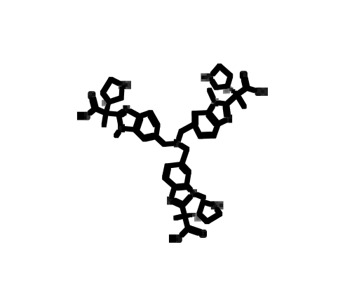 Cn1c(C(C)(C(=O)O)[C@H]2CCNC2)nc2ccc(CN(Cc3ccc4nc(C(C)(C(=O)O)[C@H]5CCNC5)n(C)c4c3)Cc3ccc4nc(C(C)(C(=O)O)[C@H]5CCNC5)n(C)c4c3)cc21